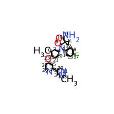 Cc1cc(N(C(=O)C2(C(N)=O)CC2)c2ccc(F)cc2)ccc1Oc1ccnc(-c2cnn(C)c2)c1